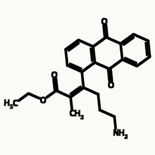 CCOC(=O)C(C)=C(CCCN)c1cccc2c1C(=O)c1ccccc1C2=O